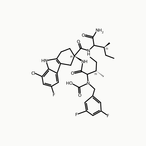 CC[C@H](C)C(NC(=O)[C@@]1(NC(=O)C([C@@H](C)CC)N(Cc2cc(F)cc(F)c2)C(=O)O)CCc2[nH]c3c(Cl)cc(F)cc3c2C1)C(N)=O